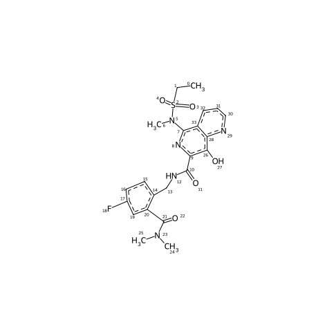 CCS(=O)(=O)N(C)c1nc(C(=O)NCc2ccc(F)cc2C(=O)N(C)C)c(O)c2ncccc12